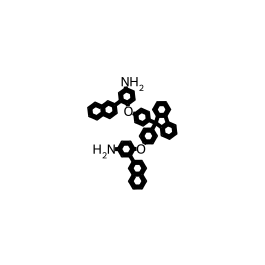 Nc1ccc(Oc2ccc(C3(c4ccc(Oc5ccc(N)cc5-c5ccc6ccccc6c5)cc4)c4ccccc4-c4ccccc43)cc2)c(-c2ccc3ccccc3c2)c1